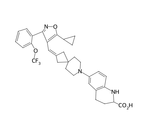 O=C(O)C1CCc2cc(N3CCC4(CC3)CC(=Cc3c(-c5ccccc5OC(F)(F)F)noc3C3CC3)C4)ccc2N1